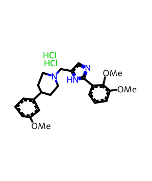 COc1cccc(C2CCN(Cc3cnc(-c4cccc(OC)c4OC)[nH]3)CC2)c1.Cl.Cl